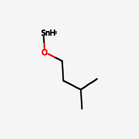 CC(C)CC[O][SnH]